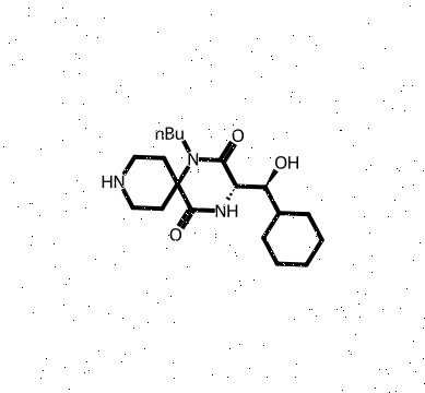 CCCCN1C(=O)[C@H]([C@@H](O)C2CCCCC2)NC(=O)C12CCNCC2